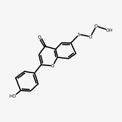 O=c1cc(-c2ccc(O)cc2)oc2ccc(SOOO)cc12